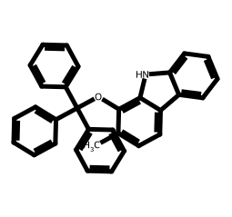 Cc1ccc2c([nH]c3ccccc32)c1OC(c1ccccc1)(c1ccccc1)c1ccccc1